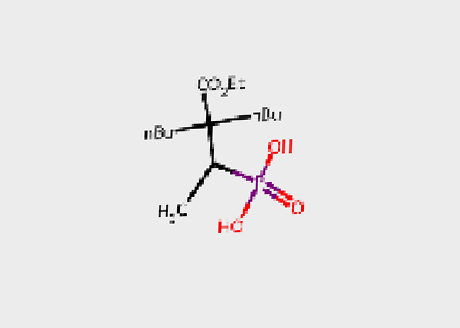 CCCCC(CCCC)(C(=O)OCC)C(C)P(=O)(O)O